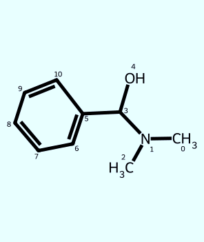 CN(C)C(O)c1ccccc1